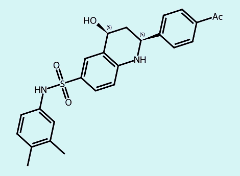 CC(=O)c1ccc([C@@H]2C[C@H](O)c3cc(S(=O)(=O)Nc4ccc(C)c(C)c4)ccc3N2)cc1